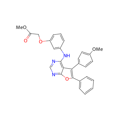 COC(=O)COc1cccc(Nc2ncnc3oc(-c4ccccc4)c(-c4ccc(OC)cc4)c23)c1